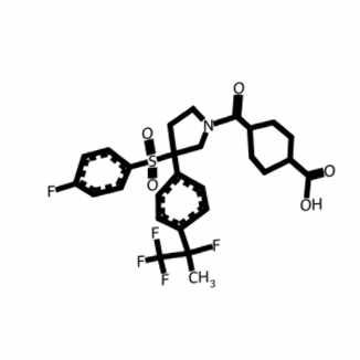 CC(F)(c1ccc(C2(S(=O)(=O)c3ccc(F)cc3)CCN(C(=O)C3CCC(C(=O)O)CC3)C2)cc1)C(F)(F)F